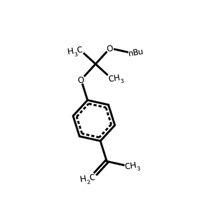 C=C(C)c1ccc(OC(C)(C)OCCCC)cc1